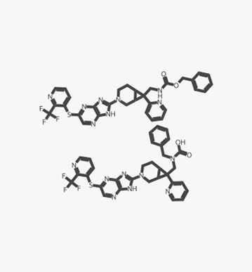 O=C(NCC1(c2ccccn2)C2CCN(c3nc4nc(Sc5cccnc5C(F)(F)F)cnc4[nH]3)CC21)OCc1ccccc1.O=C(O)N(Cc1ccccc1)CC1(c2ccccn2)C2CCN(c3nc4nc(Sc5cccnc5C(F)(F)F)cnc4[nH]3)CC21